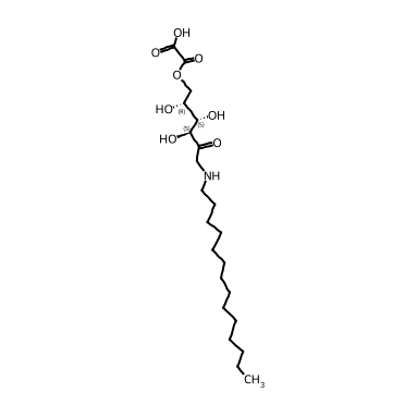 CCCCCCCCCCCCCCNCC(=O)[C@@H](O)[C@@H](O)[C@H](O)COC(=O)C(=O)O